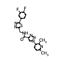 Cc1ccc(-n2cc(C(=O)NCc3nnc(-c4ccc(F)c(F)c4)s3)nn2)c(C)n1